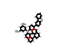 CC(C)(C)c1cc(N(c2ccc(-c3ccc4oc5ccccc5c4c3)cc2)c2ccccc2C2=c3c(-c4ccccc4)cccc3=CCC2)cc(C(C)(C)C)c1